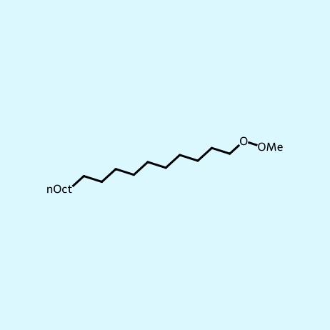 CCCCCCCCCCCCCCCCCCOOC